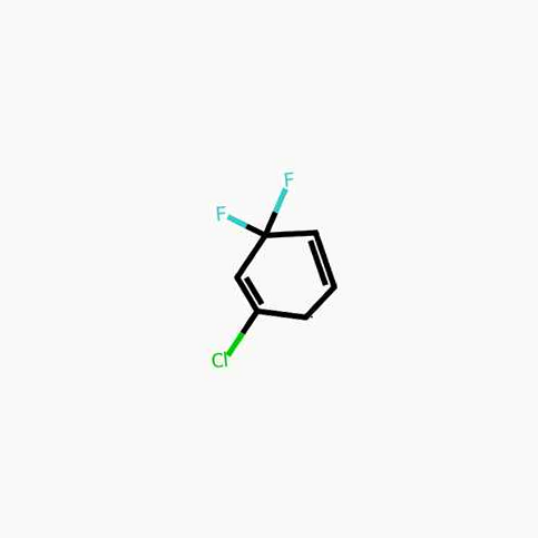 FC1(F)C=C[CH]C(Cl)=C1